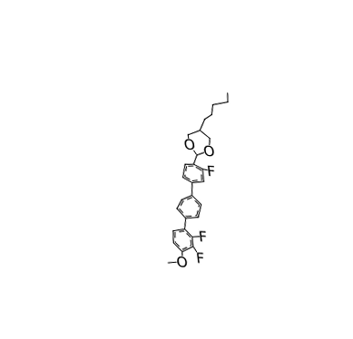 CCCCCC1COC(c2ccc(-c3ccc(-c4ccc(OC)c(F)c4F)cc3)cc2F)OC1